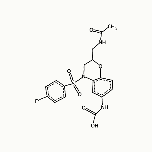 CC(=O)NCC1CN(S(=O)(=O)c2ccc(F)cc2)c2cc(NC(=O)O)ccc2O1